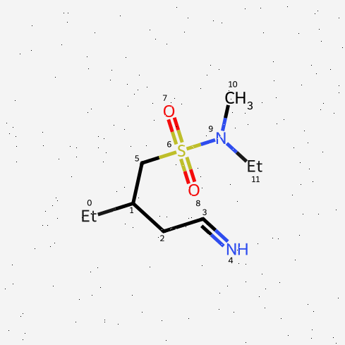 CCC(CC=N)CS(=O)(=O)N(C)CC